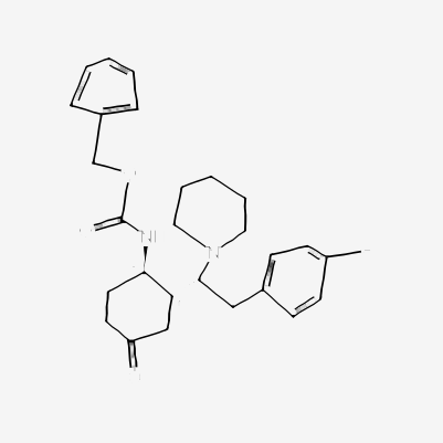 O=C1CC[C@@H](NC(=O)OCc2ccccc2)[C@H](C(Cc2ccc(F)cc2)N2CCCCC2)C1